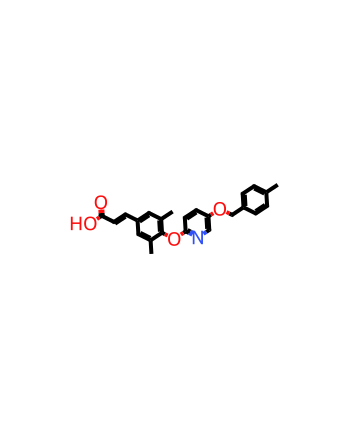 Cc1ccc(COc2ccc(Oc3c(C)cc(/C=C/C(=O)O)cc3C)nc2)cc1